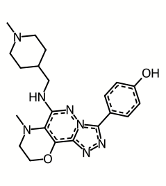 CN1CCC(CNc2nn3c(-c4ccc(O)cc4)nnc3c3c2N(C)CCO3)CC1